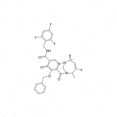 CC1C(F)=C[C@H](C)N2CN1C(=O)c1c(OCc3ccccc3)c(=O)c(C(=O)NCc3c(F)cc(F)cc3F)cn12